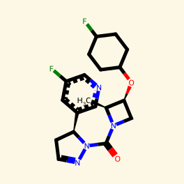 C[C@H]1[C@@H](OC2CCC(F)CC2)CN1C(=O)N1N=CC[C@H]1c1cncc(F)c1